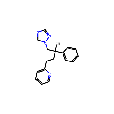 N#CC(CCc1ccccn1)(Cn1cncn1)c1ccccc1